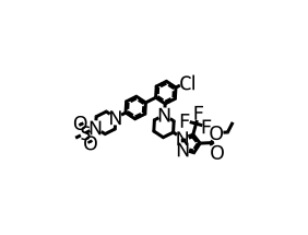 CCOC(=O)c1cnn(C2CCCN(c3cc(Cl)ccc3-c3ccc(N4CCN(S(C)(=O)=O)CC4)cc3)C2)c1C(F)(F)F